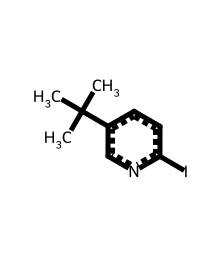 CC(C)(C)c1ccc(I)nc1